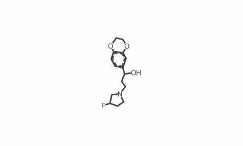 OC(CCN1CCC(F)C1)c1ccc2c(c1)OCCO2